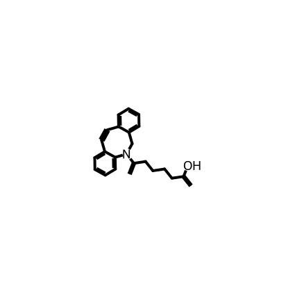 C=C(O)CCCCC(=C)N1Cc2ccccc2C#Cc2ccccc21